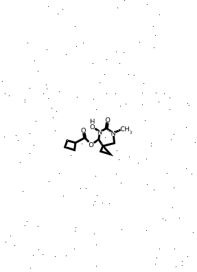 CN1CC2(CC2)C(OC(=O)C2CCC2)N(O)C1=O